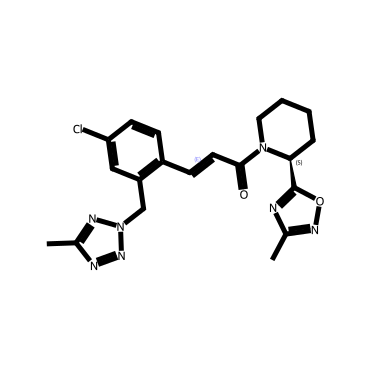 Cc1noc([C@@H]2CCCCN2C(=O)/C=C/c2ccc(Cl)cc2Cn2nnc(C)n2)n1